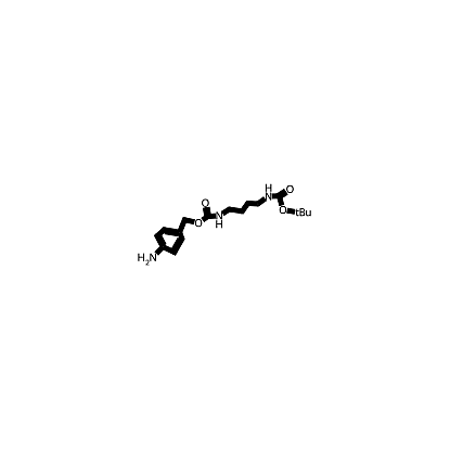 CC(C)(C)OC(=O)NCCCCNC(=O)OCc1ccc(N)cc1